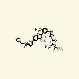 CC(=O)OC(C)OC(=O)N1CC(Nc2ccc(C)c(C(=O)N[C@H](C)c3cccc(-c4ccc(C(=O)NCC5CCCO5)s4)c3)c2)C1